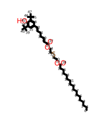 CCCCCCCCCCCCCCCCCC(=O)OCCSCCOC(=O)CCCCCCc1cc(C(C)(C)C)c(O)c(C(C)(C)C)c1